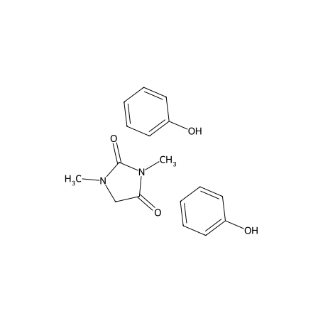 CN1CC(=O)N(C)C1=O.Oc1ccccc1.Oc1ccccc1